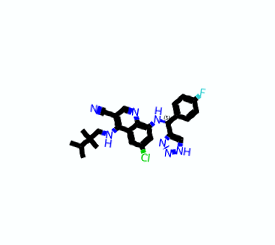 CC(C)C(C)(C)CNc1c(C#N)cnc2c(N[C@@H](c3ccc(F)cc3)c3c[nH]nn3)cc(Cl)cc12